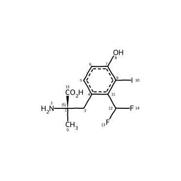 C[C@](N)(Cc1ccc(O)c(I)c1C(F)F)C(=O)O